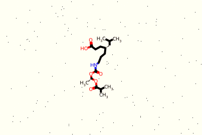 CC(C)C[C@H](CCCNC(=O)O[C@@H](C)OC(=O)C(C)C)CCC(=O)O